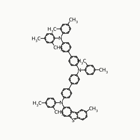 Cc1ccc(N(c2ccc(-c3ccc(N(c4ccc5sc6ccc(C)cc6c5c4)c4ccc(C)cc4C)cc3)cc2)c2ccc(-c3ccc(N(c4ccc(C)cc4C)c4ccc(C)cc4C)cc3)cc2)c(C)c1